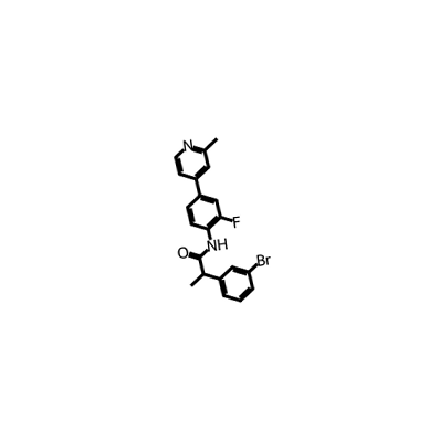 Cc1cc(-c2ccc(NC(=O)C(C)c3cccc(Br)c3)c(F)c2)ccn1